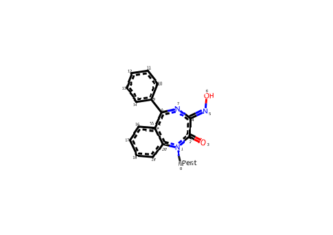 CCCCCn1c(=O)c(=NO)nc(-c2ccccc2)c2ccccc21